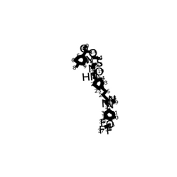 COC(C)c1ccc(C)cc1N1C(=O)CSC1=NC(=O)Nc1ccc(CCc2ncn(-c3ccc(OC(F)(F)F)cc3)n2)cc1